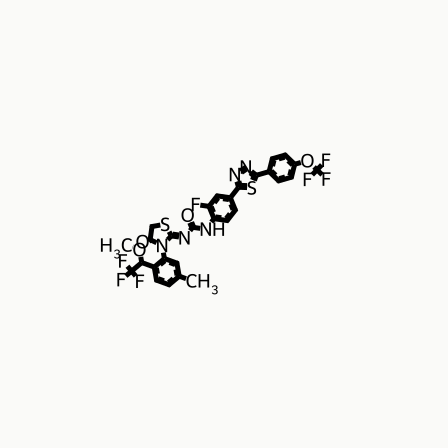 COC(c1ccc(C)cc1N1C(=O)CSC1=NC(=O)Nc1ccc(-c2nnc(-c3ccc(OC(F)(F)F)cc3)s2)cc1F)C(F)(F)F